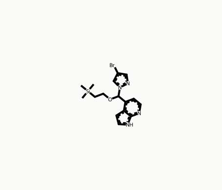 C[Si](C)(C)CCOC(c1ccnc2[nH]ccc12)n1cc(Br)cn1